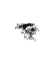 CCC(C(=O)O[C@H]1[C@H](C)[C@H](O)[C@H](C)[C@@H](O)[C@@H](C)/C=C/C=C(/C)C(=O)NC2=C3NC4(CCN(CC(C)C)CC4)N=C3c3c(c(O)c(C)c4c3C(=O)[C@@](C)(O/C=C/C[C@H]1C)O4)C2=O)C(=O)N1CCCN(c2ccc(F)cc2)CC1